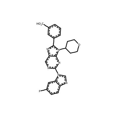 O=C(O)c1cccc(-c2nc3cnc(-n4cnc5ccc(F)cc54)nc3n2C2CCOCC2)c1